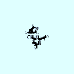 C#Cc1nc(C)cc(Cl)n1.c1ncc2cc1-2